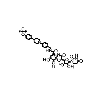 COC1C(O)[C@H](n2ccc(=O)[nH]c2=O)O[C@@H]1[C@@H](O[C@H]1OC(C(=O)NCc2ccc(N3CCC(c4ccc(OC(F)(F)F)cc4)CC3)cc2)=C[C@H](O)[C@@H]1O)C(N)=O